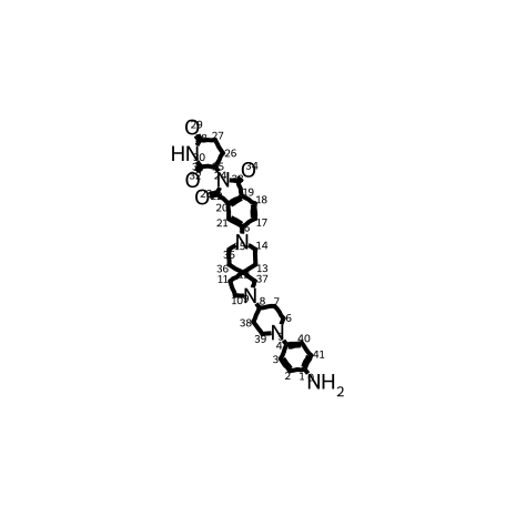 Nc1ccc(N2CCC(N3CCC4(CCN(c5ccc6c(c5)C(=O)N(C5CCC(=O)NC5=O)C6=O)CC4)C3)CC2)cc1